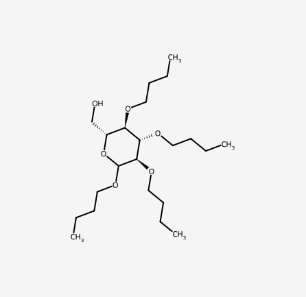 CCCCOC1O[C@H](CO)[C@@H](OCCCC)[C@H](OCCCC)[C@H]1OCCCC